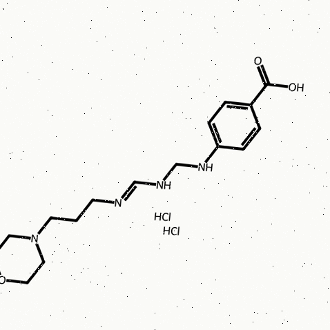 Cl.Cl.O=C(O)c1ccc(NCNC=NCCCN2CCOCC2)cc1